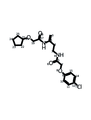 C=C(CCNC(=O)COc1ccc(Cl)cc1)NC(=O)COC1CCCC1